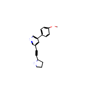 COc1ccc(-c2cncc(C#CC3CCCN3)c2)cc1